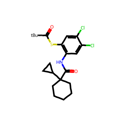 CC(C)(C)C(=O)Sc1cc(Cl)c(Cl)cc1NC(=O)C1(C2CC2)CCCCC1